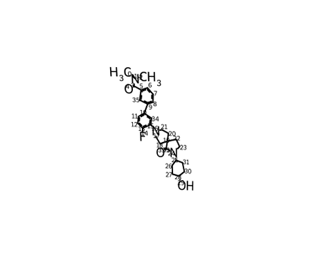 CN(C)C(=O)c1cccc(-c2ccc(F)c(N3CCC4(CC3)CCN([C@H]3CC[C@@H](O)CC3)C4=O)c2)c1